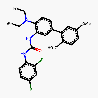 COc1ccc(C(=O)O)c(-c2ccc(N(CC(C)C)CC(C)C)c(NC(=O)Nc3ccc(F)cc3F)c2)c1